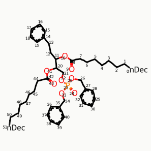 CCCCCCCCCCCCCCCCCC(=O)OC(CCc1ccccc1)C(COP(=O)(OCc1ccccc1)OCc1ccccc1)OC(=O)CCCCCCCCCCCCCCCCC